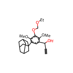 C#CC(O)c1cc(C23CC4CC(CC(C4)C2)C3)c(OC)c(OCOCC)c1OC